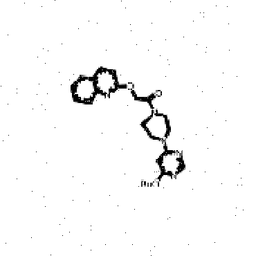 CC(C)COc1cc(N2CCN(C(=O)COc3ccc4ccccc4n3)CC2)ncn1